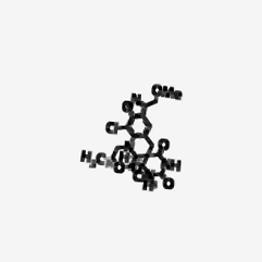 COCc1noc2c(Cl)c3c(cc12)CC1(C(=O)NC(=O)NC1=O)[C@H]1[C@H](C)O[C@H](C)CN31